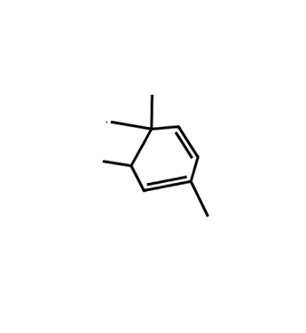 [CH2]C1(C)C=CC(C)=CC1C